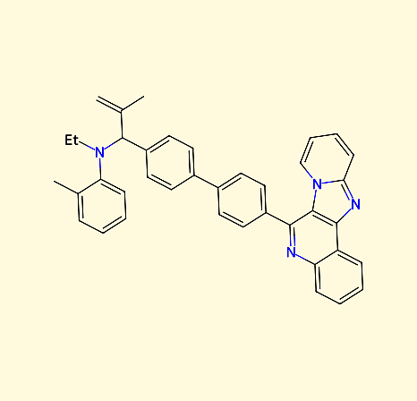 C=C(C)C(c1ccc(-c2ccc(-c3nc4ccccc4c4nc5ccccn5c34)cc2)cc1)N(CC)c1ccccc1C